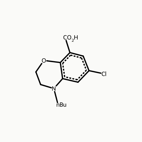 CCCCN1CCOc2c(C(=O)O)cc(Cl)cc21